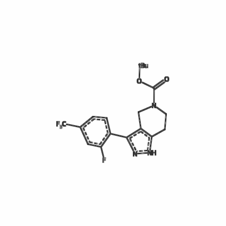 CC(C)(C)OC(=O)N1CCc2[nH]nc(-c3ccc(C(F)(F)F)cc3F)c2C1